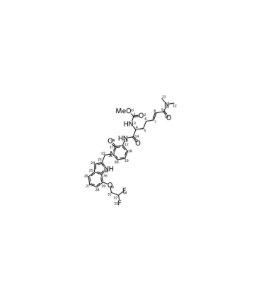 COC(=O)N[C@@H](CC/C=C/C(=O)N(C)C)C(=O)Nc1cccn(Cc2cc3cccc(OCC(F)F)c3[nH]2)c1=O